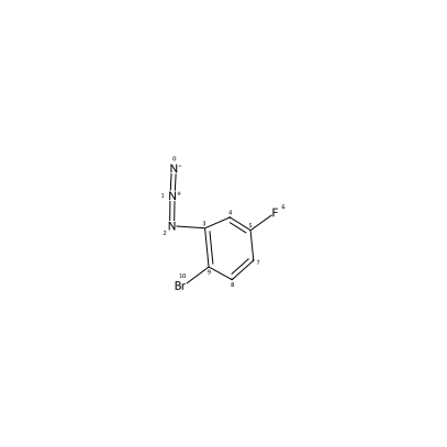 [N-]=[N+]=Nc1cc(F)ccc1Br